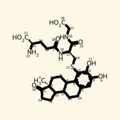 C[C@]12CCC3c4c(cc(O)c(O)c4SC[C@@H](NC(=O)CC[C@@H](N)C(=O)O)C(=O)NCC(=O)O)CCC3C1CCC2=O